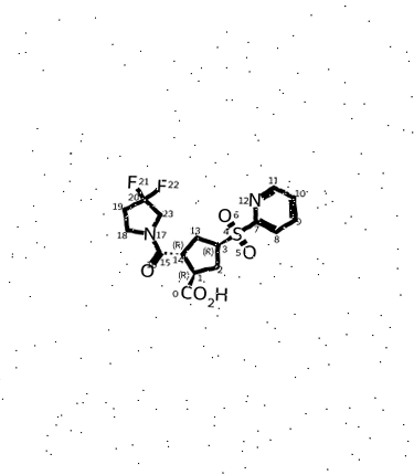 O=C(O)[C@@H]1C[C@H](S(=O)(=O)c2ccccn2)C[C@H]1C(=O)N1CCC(F)(F)C1